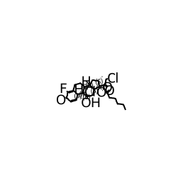 CCCCCC(=O)O[C@]1(C(=O)CCl)[C@@H](C)C[C@H]2[C@@H]3CCC4=C(F)C(=O)C=C[C@]4(C)[C@@]3(Cl)[C@@H](O)C[C@@]21C